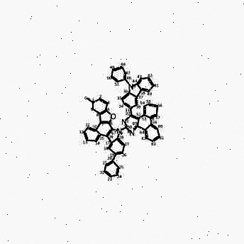 CC1C=Cc2oc3c(c2C1)c1ccccc1c1c2cc(-c4ccccc4)ccc2n(-c2nc(-c4ccc5c(c4)c4ccccc4n5-c4ccccc4)c4c5ccccc5c5ccccc5c4n2)c31